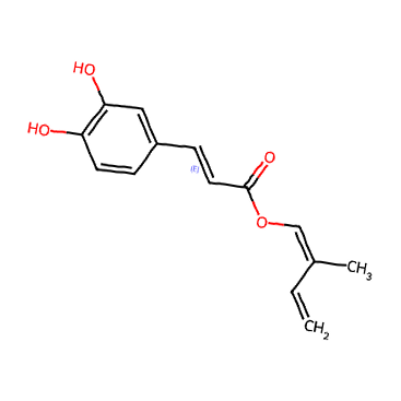 C=CC(C)=COC(=O)/C=C/c1ccc(O)c(O)c1